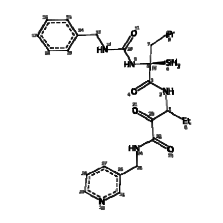 CCC(NC(=O)[C@@]([SiH3])(CC(C)C)NC(=O)NCc1ccccc1)C(=O)C(=O)NCc1cccnc1